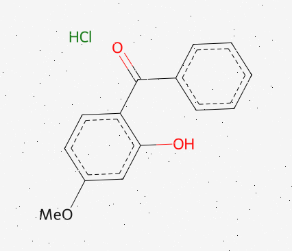 COc1ccc(C(=O)c2ccccc2)c(O)c1.Cl